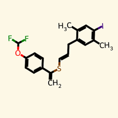 C=C(S/C=C/Cc1cc(C)c(I)cc1C)c1ccc(OC(F)F)cc1